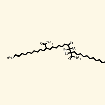 CCCCCCC=CCCCCCCCCC(CCCCCCC(CC)C(CC)(CC)C(CC)(CCCCCCCCC=CCCCCCC)C(N)=O)C(N)=O